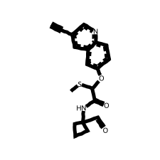 C#Cc1cnc2ccc(OC(SC)C(=O)NC3(C=O)CCC3)cc2c1